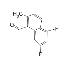 Cc1ccc2c(F)cc(F)cc2c1C=O